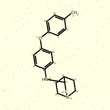 Cc1ccc(Oc2ccc(NC3CN4CCC3CC4)cc2)cc1